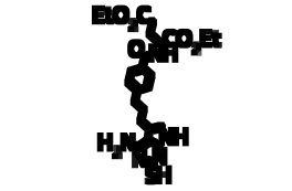 CCOC(=O)CC[C@@H](NC(=O)c1ccc(CCCc2c[nH]c3nc(S)nc(N)c23)cc1)C(=O)OCC